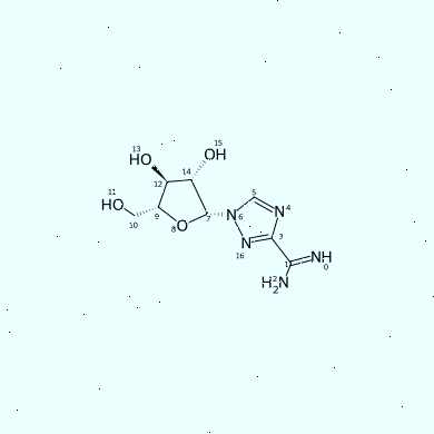 N=C(N)c1ncn([C@@H]2O[C@H](CO)[C@@H](O)[C@@H]2O)n1